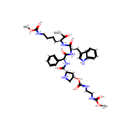 COC(=O)[C@H](CCCCNC(=O)OC(C)(C)C)NC(=O)[C@@H](Cc1c[nH]c2ccccc12)NC(=O)[C@@H](NC(=O)[C@@H]1C[C@@H](OC(=O)NCCNC(=O)OC(C)(C)C)CN1)c1ccccc1